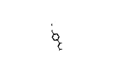 CCOCc1ccc(/C(C)=C/C(C)C)cc1